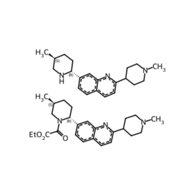 CCOC(=O)C(=O)N1C[C@@H](C)CC[C@@H]1c1ccc2ccc(C3CCN(C)CC3)nc2c1.C[C@H]1CC[C@H](c2ccc3ccc(C4CCN(C)CC4)nc3c2)NC1